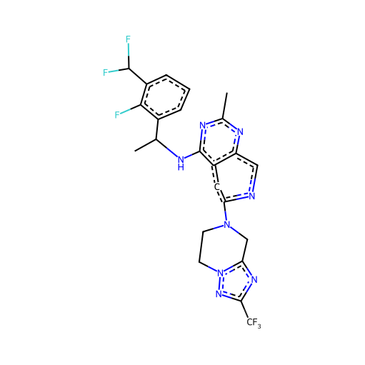 Cc1nc(NC(C)c2cccc(C(F)F)c2F)c2cc(N3CCn4nc(C(F)(F)F)nc4C3)ncc2n1